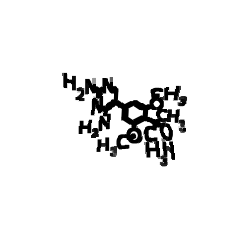 COc1cc(-c2cnc(N)nc2N)cc(OC)c1C(C)(C)O